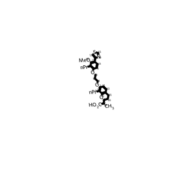 CCCc1c(OCCCOc2ccc(-c3cscn3)c(OC)c2CCC)ccc2c1OC(C(C)C(=O)O)CC2